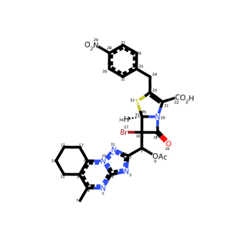 CC(=O)OC(c1nc2nc(C)c3c(n2n1)CCCC3)C1(Br)C(=O)N2C(C(=O)O)=C(Cc3ccc([N+](=O)[O-])cc3)S[C@@H]21